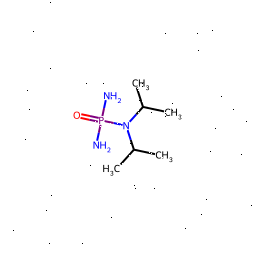 CC(C)N(C(C)C)P(N)(N)=O